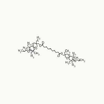 C=CCON1C(C)(C)CC2(CC1(C)C)OCC(CC)(COC(=O)CCCCCCCCC(=O)OCC1(CC)COC3(CC(C)(C)N(OCC=C)C(C)(C)C3)OC1)CO2